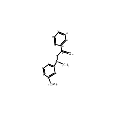 COc1cccc(N(C)CC(=O)c2ccccc2)c1